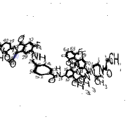 C=CC(=O)N1CCN(c2nc(=O)n(-c3c(C)cc(CNC(=O)C4CCC(CNc5cc6c(cc5F)C(=O)N(C5CCC(=O)NC5=O)/C6=C5\CO5)CC4)cc3C(C)C)c3nc(-c4c(O)cccc4F)c(F)cc23)[C@@H](C)C1